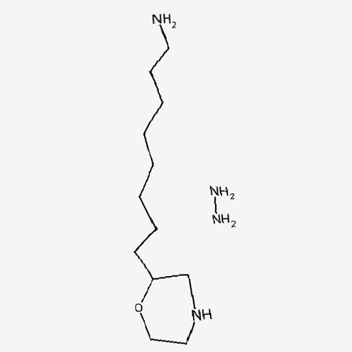 NCCCCCCCCC1CNCCO1.NN